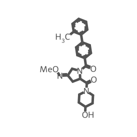 CON=C1CC(C(=O)N2CCC(O)CC2)N(C(=O)c2ccc(-c3ccccc3C)cc2)C1